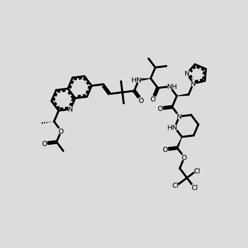 CC(=O)O[C@H](C)c1ccc2ccc(C=CC(C)(C)C(=O)N[C@H](C(=O)N[C@@H](Cn3cccn3)C(=O)N3CCC[C@@H](C(=O)OCC(Cl)(Cl)Cl)N3)C(C)C)cc2n1